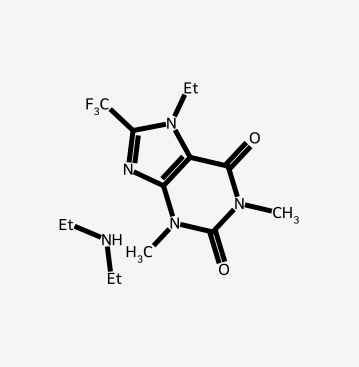 CCNCC.CCn1c(C(F)(F)F)nc2c1c(=O)n(C)c(=O)n2C